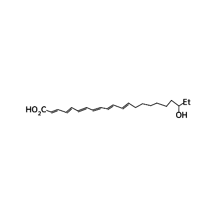 CCC(O)CCCCCCC=CC=CC=CC=CC=CC=CC(=O)O